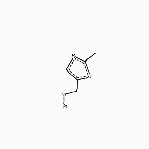 Cc1ncc(COC(C)C)o1